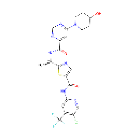 C[C@@H](NC(=O)c1cc(N2CCC(O)CC2)ncn1)c1ncc(C(=O)Nc2cc(C(F)(F)F)c(Cl)cn2)s1